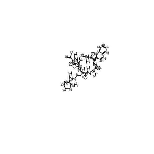 CC[C@@H]1NC(=O)[C@H](CCCNC2=NCCCN2)NC(=O)[C@](C)(NC(=O)C(C)C)CCNC(=O)[C@@H](c2ccc3ccccc3c2)NC1=O